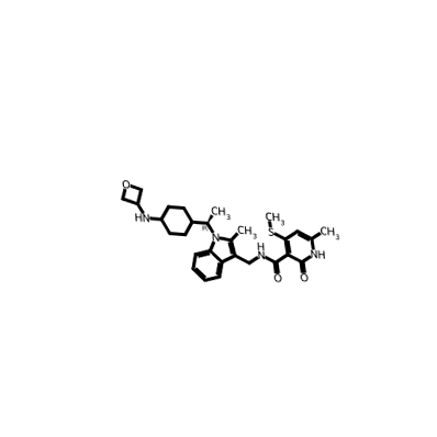 CSc1cc(C)[nH]c(=O)c1C(=O)NCc1c(C)n([C@H](C)C2CCC(NC3COC3)CC2)c2ccccc12